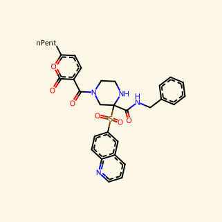 CCCCCc1ccc(C(=O)N2CCNC(C(=O)NCc3ccccc3)(S(=O)(=O)c3ccc4ncccc4c3)C2)c(=O)o1